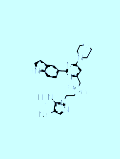 N#Cc1cnn(CCS(=O)(=O)Cc2cc(N3CCOCC3)nc(-c3ccc4[nH]ccc4c3)n2)c1N